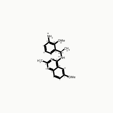 COc1[c]cc2nc(C)nc(N[C@H](C)c3cccc(N)c3OC)c2c1